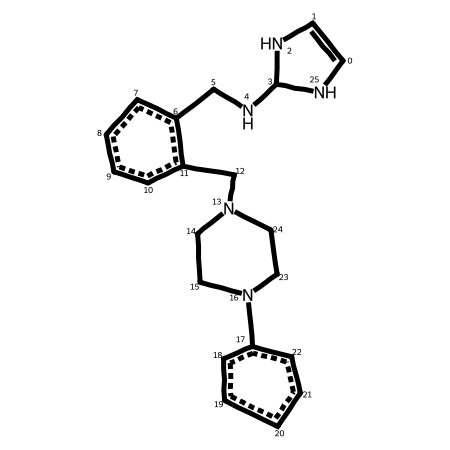 C1=CNC(NCc2ccccc2CN2CCN(c3ccccc3)CC2)N1